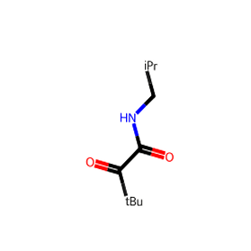 CC(C)CNC(=O)C(=O)C(C)(C)C